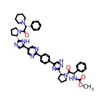 COC(=O)N[C@@H](C(=O)N1CCC[C@H]1c1nc(-c2ccc(-c3ncc(-c4cnc([C@@H]5CCCN5C(=O)[C@@H](c5ccccc5)N5CCCCC5)[nH]4)cn3)cc2)c[nH]1)c1ccccc1